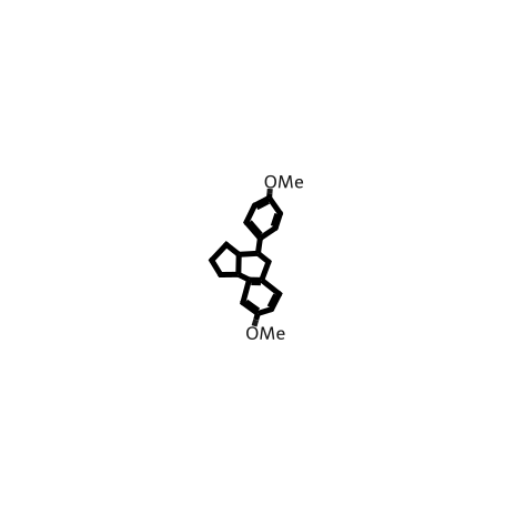 COc1ccc(C2Cc3ccc(OC)cc3C3CCCC23)cc1